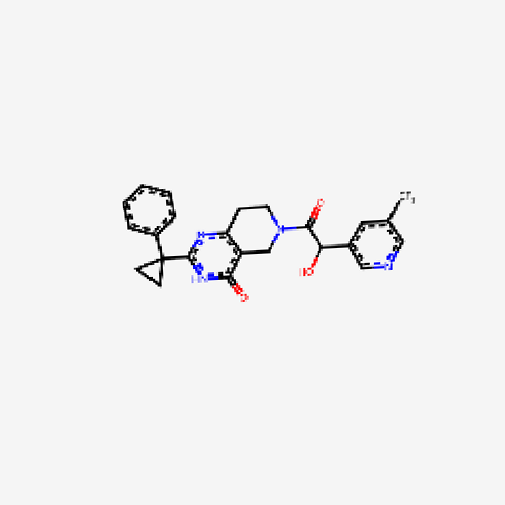 O=C(C(O)c1cncc(C(F)(F)F)c1)N1CCc2nc(C3(c4ccccc4)CC3)[nH]c(=O)c2C1